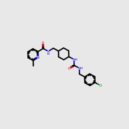 Cc1cccc(C(=O)NCC2CCC(NC(=O)NCc3ccc(Cl)cc3)CC2)n1